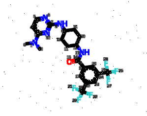 CN(C)c1ccnc(NC2CCC(NC(=O)c3cc(C(F)(F)F)cc(C(F)(F)F)c3)CC2)n1